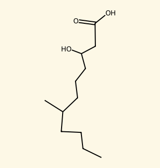 CCCCC(C)CCCC(O)CC(=O)O